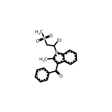 CCC(CS(C)(=O)=O)n1c(C)c(C(=O)c2ccccc2)c2ccccc21